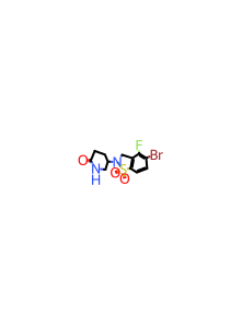 O=C1CCC(N2Cc3c(ccc(Br)c3F)S2(=O)=O)CN1